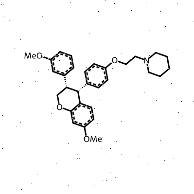 COc1cccc([C@H]2COc3cc(OC)ccc3[C@H]2c2ccc(OCCN3CCCCC3)cc2)c1